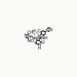 Cc1cc(-n2ccnc2)cc2[nH]c(-c3c(NCCn4c([N+](=O)[O-])cnc4C)cc[nH]c3=O)nc12